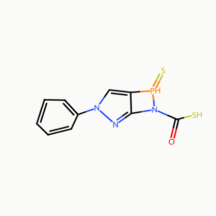 O=C(S)N1c2nn(-c3ccccc3)cc2[PH]1=S